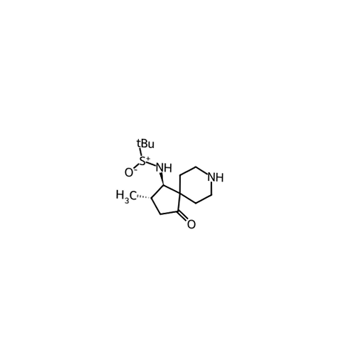 C[C@H]1CC(=O)C2(CCNCC2)[C@@H]1N[S+]([O-])C(C)(C)C